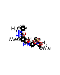 COC(=O)C[C@H](c1ccc(NC(=O)Cc2ccc(NC(=O)Nc3ccccc3C)c(OC)c2)cc1)N(C)S(C)(=O)=O